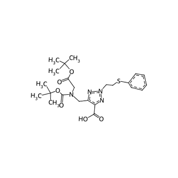 CC(C)(C)OC(=O)CN(Cc1nn(CCSc2ccccc2)nc1C(=O)O)C(=O)OC(C)(C)C